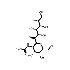 CC(=O)N[C@H]1C(C(=O)[C@H](O)[C@@H](O)[C@H](O)[C@H](O)CO)O[C@H](CO)[C@H](O)[C@@H]1O